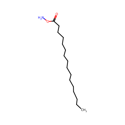 CCCCCCCCCCCCCCCC(=O)ON